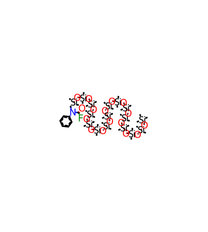 C[Si](C)(C)O[Si](C)(C)O[Si](C)(C)O[Si](C)(C)O[Si](C)(C)O[Si](C)(C)O[Si](C)(C)O[Si](C)(C)O[Si](C)(C)O[Si](C)(C)O[Si](C)(C)O[Si](C)(C)O[Si](C)(C)O[Si](C)(C)O[Si](C)(C)O[Si](C)(C)CN(C(=O)F)c1ccccc1